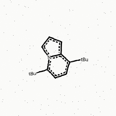 CC(C)(C)c1ccc(C(C)(C)C)n2cccc12